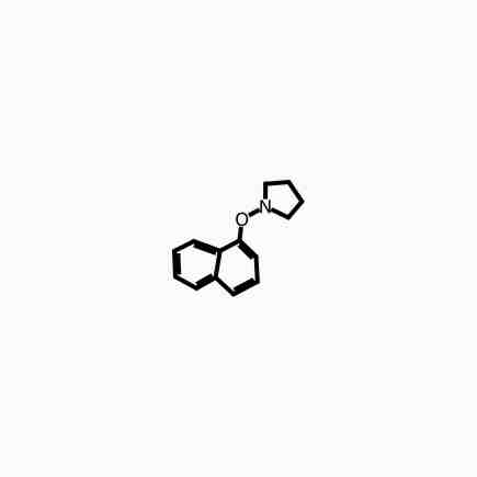 c1ccc2c(ON3CCCC3)cccc2c1